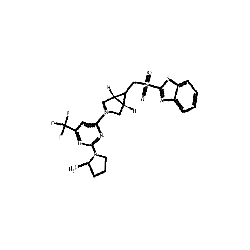 CC1CCCN1c1nc(N2C[C@@H]3C(CS(=O)(=O)c4nc5ccccc5s4)[C@@H]3C2)cc(C(F)(F)F)n1